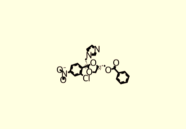 O=C(OC[C@@H]1CO[C@@](Cn2ccnc2)(c2ccc([N+](=O)[O-])cc2Cl)O1)c1ccccc1